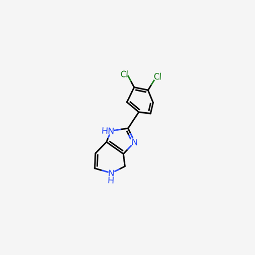 Clc1ccc(-c2nc3c([nH]2)C=CNC3)cc1Cl